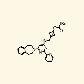 CC(C)(C)C(=O)OC12CC(CNc3cc(N4CCc5ccccc5CC4)nc(-c4ccccn4)n3)(C1)C2